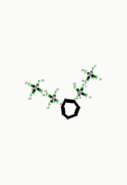 C1=CC=CCC=C1.F[B-](F)(F)F.F[B-](F)(F)F.F[B-](F)(F)F.F[B-](F)(F)F